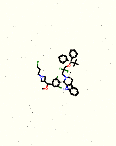 COC(c1cc(F)c([C@@H]2c3[nH]c4ccccc4c3C[C@@H](C)N2CC(F)(F)CO[Si](c2ccccc2)(c2ccccc2)C(C)(C)C)c(F)c1)C1CN(CCCF)C1